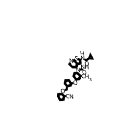 Cc1cc(Oc2cccc(COc3ccccc3C#N)c2)ccc1N1C(=O)Nc2c(NC(=O)C3CC3)sc3nccc1c23